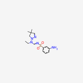 CCN(C=NS(=O)(=O)c1cccc(N)c1)N1CC(C)(C)C=N1